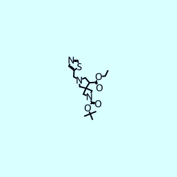 CCOC(=O)C1CN(Cc2cncs2)CC12CN(C(=O)OC(C)(C)C)C2